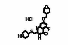 Cl.O=c1[nH]c(CSC2CCNCC2)nc2cc(OCC3CCOCC3)cc(F)c12